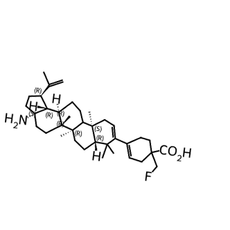 C=C(C)[C@@H]1CC[C@]2(N)CC[C@]3(C)[C@H](CCC4[C@@]5(C)CC=C(C6=CCC(CF)(C(=O)O)CC6)C(C)(C)[C@@H]5CC[C@]43C)[C@@H]12